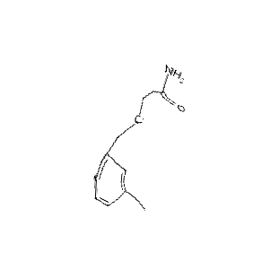 Cc1cccc(C[CH]CC(N)=O)c1